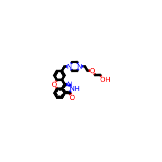 O=c1[nH]nc2c3c(cccc13)OC1C=CC(CN3CCN(CCOCCO)CC3)=CC21